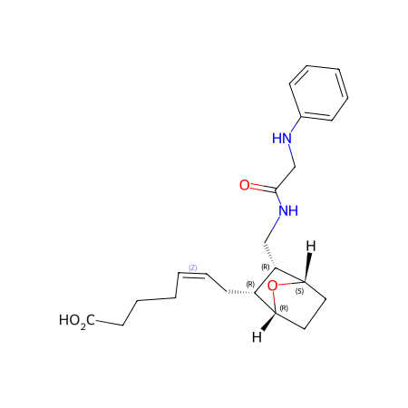 O=C(O)CCC/C=C\C[C@@H]1[C@H](CNC(=O)CNc2ccccc2)[C@@H]2CC[C@H]1O2